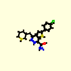 NC(=O)c1nnc(CC2CCCSC2)c2cc(-c3ccc(Cl)cc3)sc12